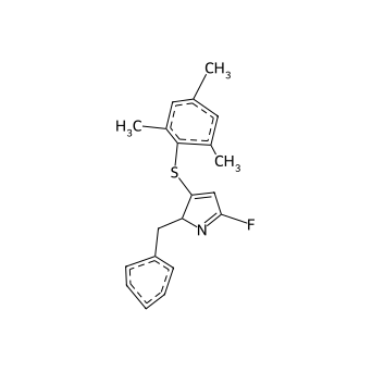 Cc1cc(C)c(SC2=CC(F)=NC2Cc2ccccc2)c(C)c1